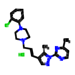 Cc1ccnc(-n2ncc(C=CCN3CCN(c4ccccc4Cl)CC3)c2C)n1.Cl